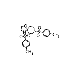 Cc1ccc(S(=O)(=O)N2CCOC23CCN(S(=O)(=O)c2ccc(C(F)(F)F)cc2)CC3)cc1